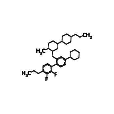 CCCc1ccc(-c2ccc(C3CCCCC3)cc2CC2CC(C3CCC(CCC)CC3)CCC2C)c(F)c1F